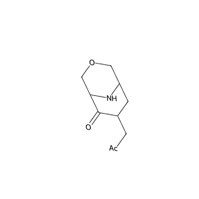 CC(=O)CC1CC2COCC(N2)C1=O